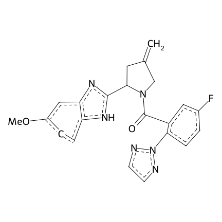 C=C1CC(c2nc3cc(OC)ccc3[nH]2)N(C(=O)c2cc(F)ccc2-n2nccn2)C1